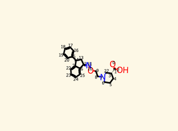 O=C(O)[C@@H]1CCCN(CCO/N=C2/CC(c3ccccc3)c3ccccc32)C1